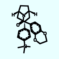 C[Si](C)(C)c1ccc([C@H]2C[C@H]3CC[C@@H](C2)N3C(=O)c2ccc3c(c2)OCCO3)cc1